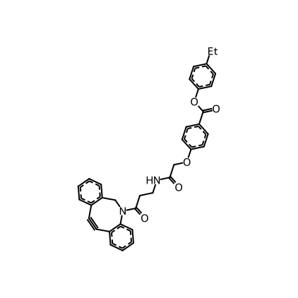 CCc1ccc(OC(=O)c2ccc(OCC(=O)NCCC(=O)N3Cc4ccccc4C#Cc4ccccc43)cc2)cc1